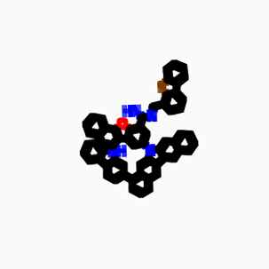 N=C(/N=C/c1cccc2c1sc1ccccc12)c1cc(-n2c3cc4ccccc4cc3c3cc4cccc(-c5ccc6c(c5)[nH]c5ccccc56)c4cc32)cc2c1oc1c3ccccc3ccc21